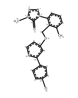 Cc1cccc(-n2nnn(C)c2=O)c1COc1ccnc(-c2ccc(Cl)cc2)c1